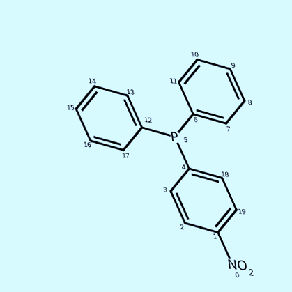 O=[N+]([O-])c1ccc(P(c2ccccc2)c2ccccc2)cc1